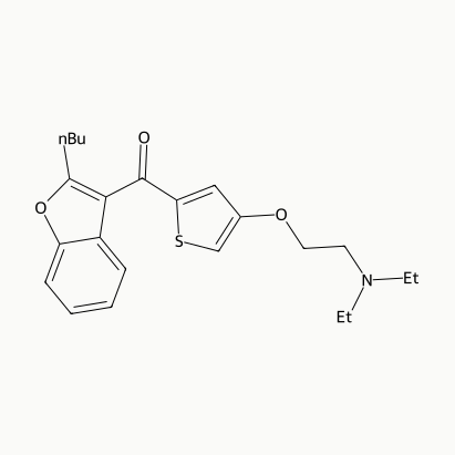 CCCCc1oc2ccccc2c1C(=O)c1cc(OCCN(CC)CC)cs1